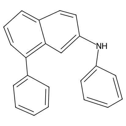 c1ccc(Nc2ccc3cccc(-c4ccccc4)c3c2)cc1